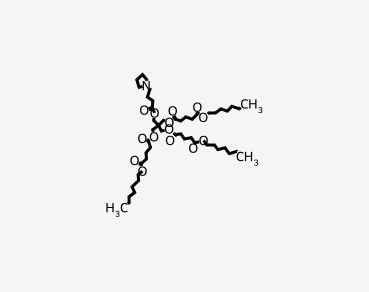 CCCCCCCOC(=O)CCCC(=O)OCC(COC(=O)CCCC(=O)OCCCCCCC)(COC(=O)CCCC(=O)OCCCCCCC)COC(=O)CCCN1CCCC1